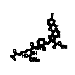 COC(O)N[C@@H](CC/C=C/C(=O)N(C)C)C(=O)Nc1cccn(Cc2nc3c(Oc4ccc(F)cc4F)ncnc3n2C(=O)OC(C)(C)C)c1=O